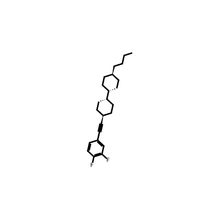 CCCC[C@H]1CC[C@H]([C@H]2CC[C@H](C#Cc3ccc(F)c(F)c3)CC2)CC1